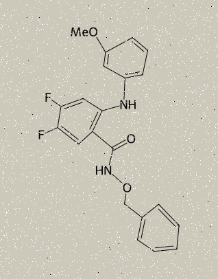 COc1cccc(Nc2cc(F)c(F)cc2C(=O)NOCc2ccccc2)c1